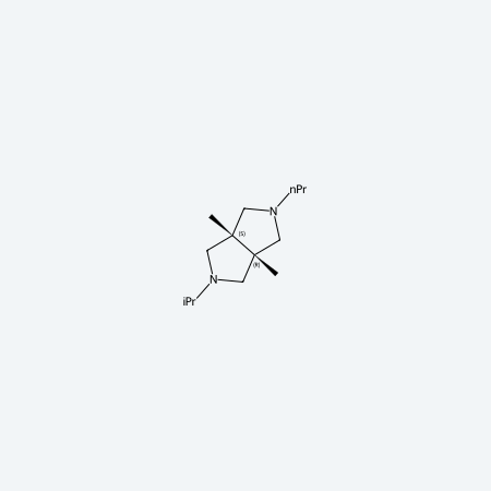 CCCN1C[C@@]2(C)CN(C(C)C)C[C@@]2(C)C1